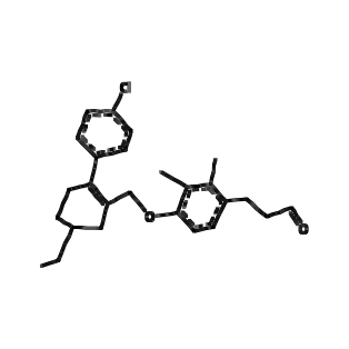 CCC1CCC(c2ccc(Cl)cc2)=C(COc2ccc(CCC=O)c(C)c2C)C1